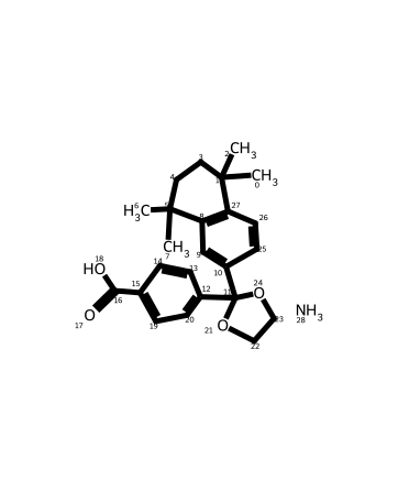 CC1(C)CCC(C)(C)c2cc(C3(c4ccc(C(=O)O)cc4)OCCO3)ccc21.N